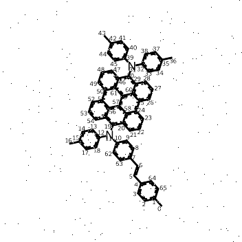 Cc1ccc(/C=C/c2ccc(N(c3ccc(C)cc3)c3c4cccc5c6cccc7c(N(c8ccc(C)cc8)c8ccc(C)cc8)c8cccc9c%10cccc3c%10c(c45)c(c76)c89)cc2)cc1